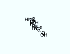 CC(c1cccc(CCC(=O)O)c1)(c1cnc(-c2cc(Oc3c(F)cc4[nH]ccc4c3S(C)(=O)=O)ccc2F)[nH]1)C(F)F